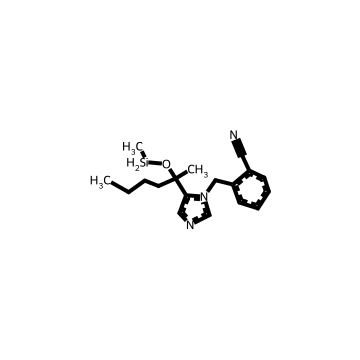 CCCCC(C)(O[SiH2]C)c1cncn1Cc1ccccc1C#N